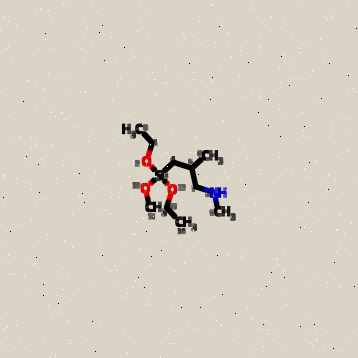 CCO[Si](CC(C)CNC)(OC)OCC